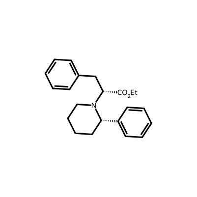 CCOC(=O)[C@@H](Cc1ccccc1)N1CCCC[C@H]1c1ccccc1